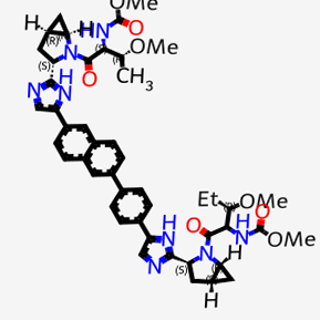 CC[C@@H](OC)C(NC(=O)OC)C(=O)N1[C@@H]2C[C@@H]2C[C@H]1c1ncc(-c2ccc(-c3ccc4cc(-c5cnc([C@@H]6C[C@H]7C[C@H]7N6C(=O)[C@@H](NC(=O)OC)[C@@H](C)OC)[nH]5)ccc4c3)cc2)[nH]1